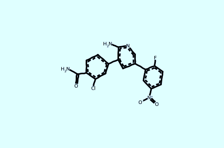 NC(=O)c1ccc(-c2cc(-c3cc([N+](=O)[O-])ccc3F)cnc2N)cc1Cl